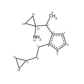 CC(c1ccsc1CCC1CC1)C1(N)CC1